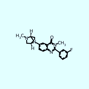 CN1C[C@@H]2C[C@H]1CN2c1ccc2nc(-c3cccc(F)c3)n(C)c(=O)c2c1